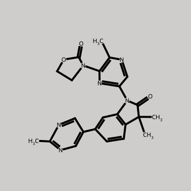 Cc1ncc(-c2ccc3c(c2)N(c2cnc(C)c(N4CCOC4=O)n2)C(=O)C3(C)C)cn1